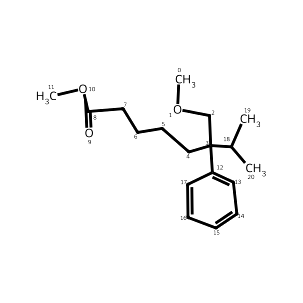 COCC(CCCCC(=O)OC)(c1ccccc1)C(C)C